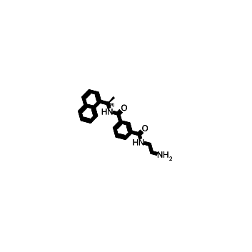 C[C@@H](NC(=O)c1cccc(C(=O)NCCN)c1)c1cccc2ccccc12